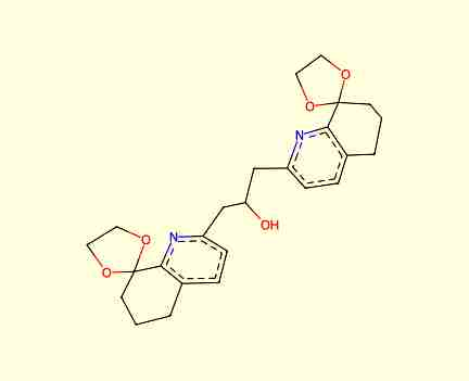 OC(Cc1ccc2c(n1)C1(CCC2)OCCO1)Cc1ccc2c(n1)C1(CCC2)OCCO1